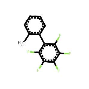 Cc1ccccc1-c1c(F)c(F)c(F)c(F)c1F